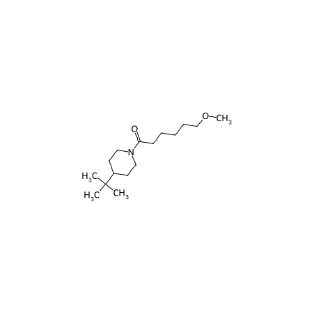 COCCCCCC(=O)N1CCC(C(C)(C)C)CC1